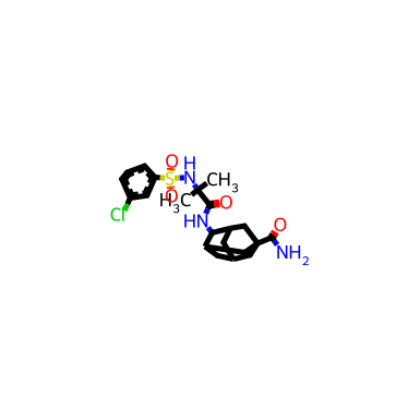 CC(C)(NS(=O)(=O)c1cccc(Cl)c1)C(=O)NC1C2CC3CC1CC(C(N)=O)(C3)C2